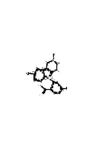 CCC(=O)c1ccc(F)cc1-n1c2c(c3cc(Cl)ccc31)CN(C)CC2